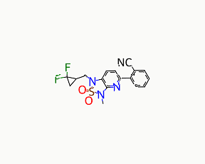 CN1c2nc(-c3ccccc3C#N)ccc2N(CC2CC2(F)F)S1(=O)=O